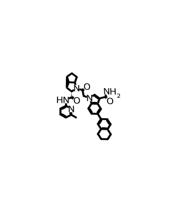 Cc1cccc(NC(=O)[C@@H]2C3C4CCC(C43)N2C(=O)Cn2cc(C(N)=O)c3cc(-c4ccc5c(c4)CCCC5)ccc32)n1